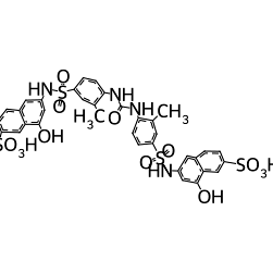 Cc1cc(S(=O)(=O)Nc2cc(O)c3cc(S(=O)(=O)O)ccc3c2)ccc1NC(=O)Nc1ccc(S(=O)(=O)Nc2cc(O)c3cc(S(=O)(=O)O)ccc3c2)cc1C